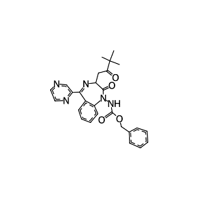 CC(C)(C)C(=O)CC1N=C(c2cnccn2)c2ccccc2N(NC(=O)OCc2ccccc2)C1=O